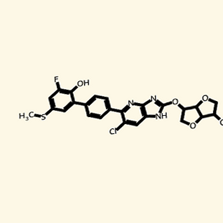 CSc1cc(F)c(O)c(-c2ccc(-c3nc4nc(OC5COC6C(O)COC56)[nH]c4cc3Cl)cc2)c1